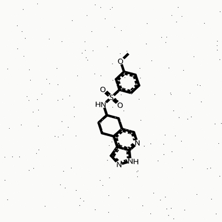 COc1cccc(S(=O)(=O)NC2CCc3c(cnc4[nH]ncc34)C2)c1